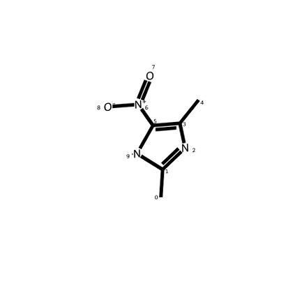 CC1=NC(C)=C([N+](=O)[O-])[N]1